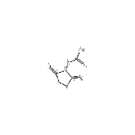 CC(=S)ON1C(=O)CCC1=O